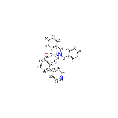 c1ccc(CN(Cc2ccccc2)[C@@H]2COc3cccc(-c4ccncc4)c3C2)cc1